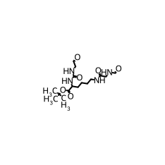 CC(C)(C)OC(=O)C(CCCCNC(=O)CNC=O)NC(=O)NCC=O